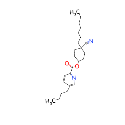 CCCCCCCC1(C#N)CCC(OC(=O)c2ccc(CCCC)cn2)CC1